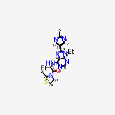 CC[C@H](Nc1ncnc2c1nc(-c1cnc(C)nc1)n2CC)C(=O)N1CCSC1C